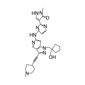 CN1CCC(C#Cc2nn(CC3(CO)CCCC3)c3cc(Nc4ccnc(-c5c[nH]n(C)c5=O)n4)ncc23)CC1